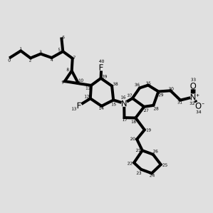 CCCCCC(C)CC1CC1C1C(F)CC(N2CC(CCC3CCCCC3)C3CC(CC[N+](=O)[O-])CCC32)CC1F